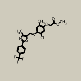 COC(=O)COc1cc(Cl)c(SCc2sc(-c3ccc(C(F)(F)F)cc3)nc2C)cc1C